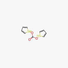 O=C(O[SH]1C=CC=C1)O[SH]1C=CC=C1